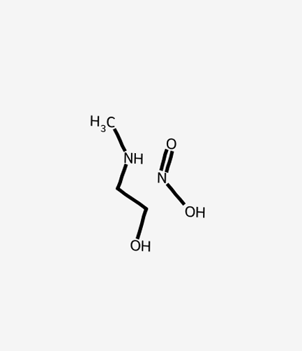 CNCCO.O=NO